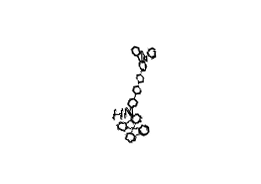 c1ccc(-n2c3ccccc3c3cc(-c4ccc(-c5ccc(-c6ccc(Nc7cccc8c7-c7ccccc7C87c8ccccc8-c8ccccc87)cc6)cc5)cc4)ccc32)cc1